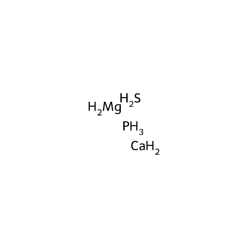 P.S.[CaH2].[MgH2]